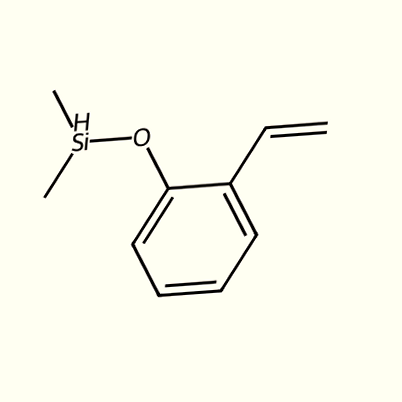 C=Cc1ccccc1O[SiH](C)C